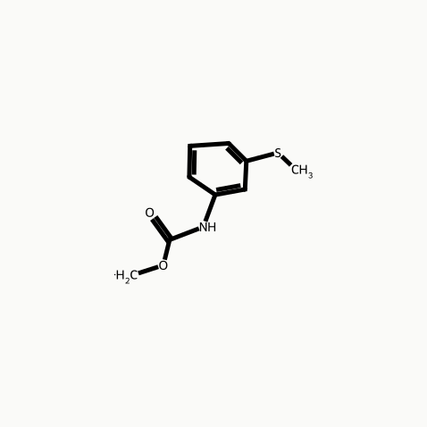 [CH2]OC(=O)Nc1cccc(SC)c1